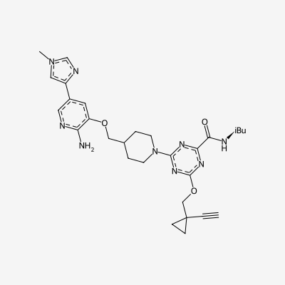 C#CC1(COc2nc(C(=O)N[C@H](C)CC)nc(N3CCC(COc4cc(-c5cn(C)cn5)cnc4N)CC3)n2)CC1